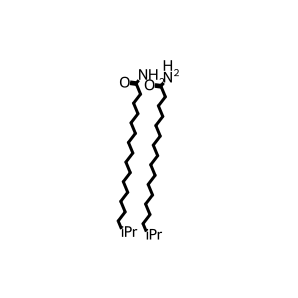 CC(C)CCCCCCCCCCCCCCC(N)=O.CC(C)CCCCCCCCCCCCCCC(N)=O